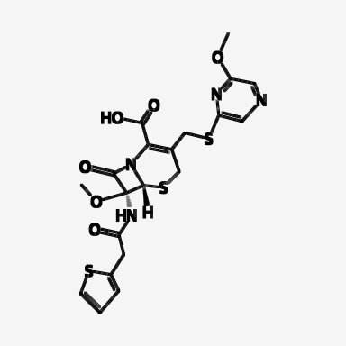 COc1cncc(SCC2=C(C(=O)O)N3C(=O)[C@](NC(=O)Cc4cccs4)(OC)[C@H]3SC2)n1